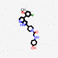 COc1ccc(F)cc1-c1ccnc2[nH]c(C3CCN(C(=O)CNC4CCC(O)CC4)CC3)cc12